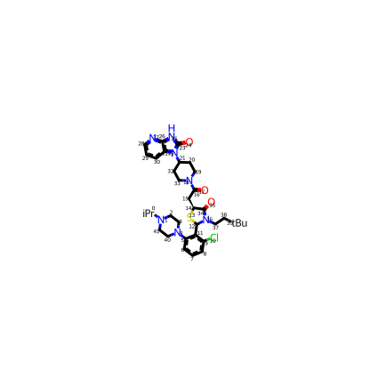 CC(C)N1CCN(c2cccc(Cl)c2C2S[C@@H](CC(=O)N3CCC(n4c(=O)[nH]c5ncccc54)CC3)C(=O)N2CCC(C)(C)C)CC1